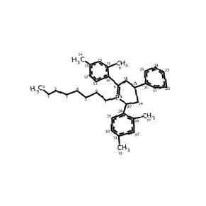 CCCCCCCC[P]1=C(c2ccc(C)cc2C)CC(c2ccccc2)CC1c1ccc(C)cc1C